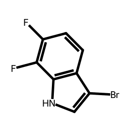 Fc1ccc2c(Br)c[nH]c2c1F